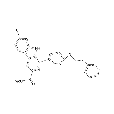 COC(=O)c1cc2c([nH]c3cc(F)ccc32)c(-c2ccc(OCCc3ccccc3)cc2)n1